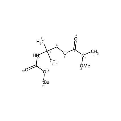 CON(C)C(=O)OCC(C)(C)NC(=O)OC(C)(C)C